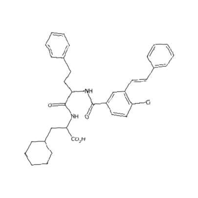 O=C(NC(CCc1ccccc1)C(=O)NC(CC1CCCCC1)C(=O)O)c1ccc(Cl)c(/C=C/c2ccccc2)c1